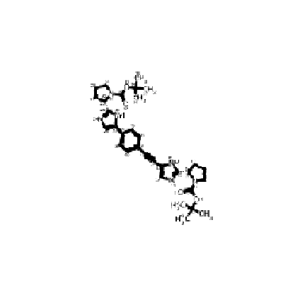 CC(C)(C)OC(=O)N1CCC[C@H]1c1ncc(C#Cc2ccc(-c3cnc([C@@H]4CCCN4C(=O)OC(C)(C)C)[nH]3)cc2)[nH]1